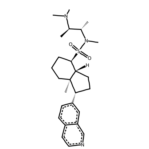 C[C@H]([C@H](C)N(C)S(=O)(=O)[C@@H]1CCC[C@]2(C)[C@@H](c3ccc4ccncc4c3)CC[C@@H]12)N(C)C